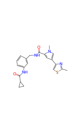 Cc1nc(-c2cc(C(=O)NCc3cccc(NC(=O)C4CC4)c3)n(C)c2)cs1